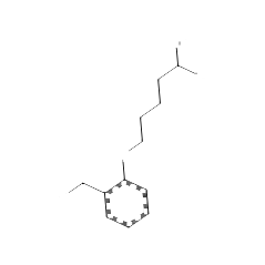 CCCC(Br)CCCCOc1ccccc1C[O]